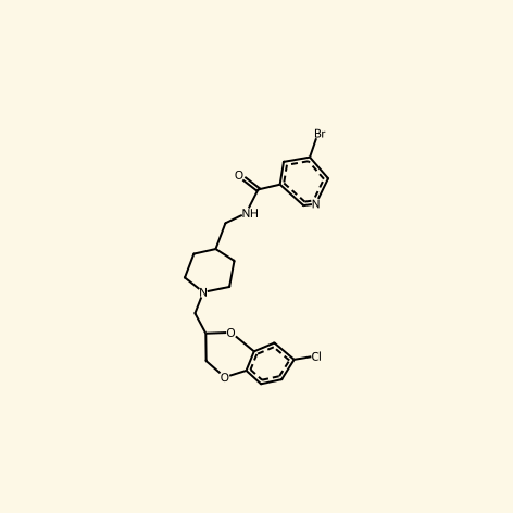 O=C(NCC1CCN(CC2COc3ccc(Cl)cc3O2)CC1)c1cncc(Br)c1